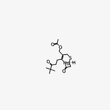 CC(=O)OCC1=C(CCC(=O)C(C)(C)C)N2C(=O)C[C@@H]2SC1